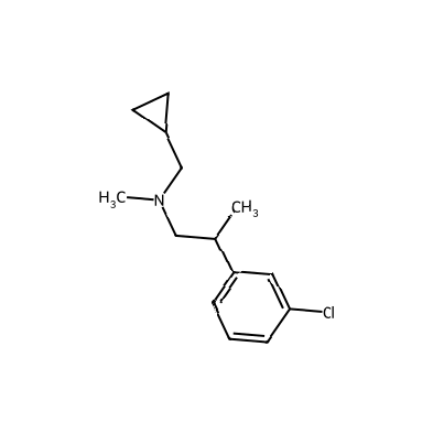 CC(CN(C)CC1CC1)c1cccc(Cl)c1